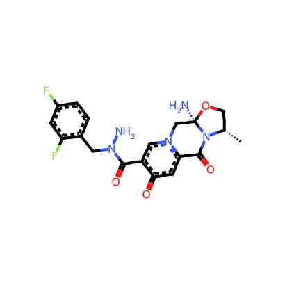 C[C@H]1CO[C@]2(N)Cn3cc(C(=O)N(N)Cc4ccc(F)cc4F)c(=O)cc3C(=O)N12